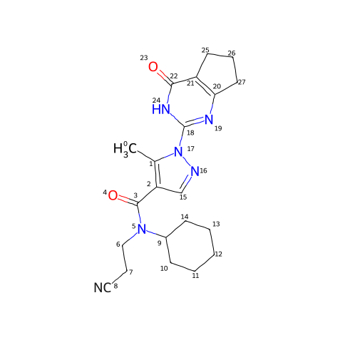 Cc1c(C(=O)N(CCC#N)C2CCCCC2)cnn1-c1nc2c(c(=O)[nH]1)CCC2